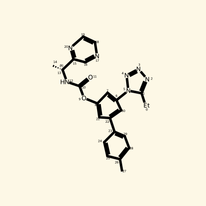 CCc1nnnn1-c1cc(OC(=O)N[C@H](C)c2cnccn2)cc(-c2ccc(C)cc2)c1